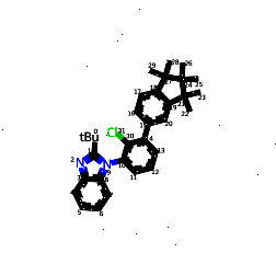 CC(C)(C)c1nc2ccccc2n1-c1cccc(-c2ccc3c(c2)C(C)(C)C(C)(C)C3(C)C)c1Cl